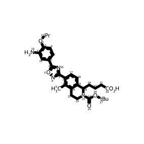 Cc1c(-c2noc(-c3ccc(OC(C)C)c(N)c3)n2)ccc2c1CCN(C(=O)OC(C)(C)C)C2CCCC(=O)O